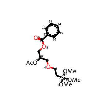 CO[Si](CCOCC(COC(=O)c1ccccc1)OC(C)=O)(OC)OC